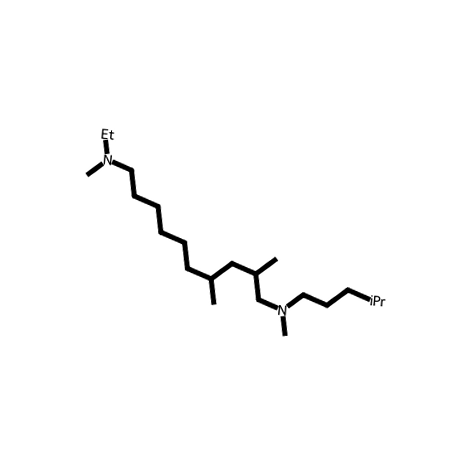 CCN(C)CCCCCCC(C)CC(C)CN(C)CCCC(C)C